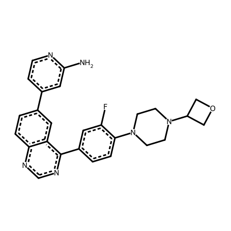 Nc1cc(-c2ccc3ncnc(-c4ccc(N5CCN(C6COC6)CC5)c(F)c4)c3c2)ccn1